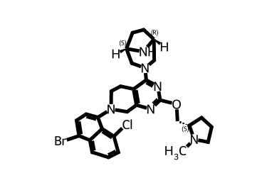 CN1CCC[C@H]1COc1nc2c(c(N3C[C@H]4CC[C@@H](C3)N4)n1)CCN(c1ccc(Br)c3cccc(Cl)c13)C2